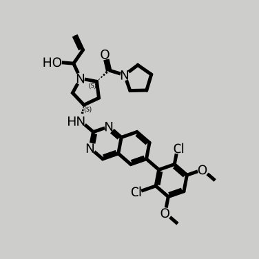 C=CC(O)N1C[C@@H](Nc2ncc3cc(-c4c(Cl)c(OC)cc(OC)c4Cl)ccc3n2)C[C@H]1C(=O)N1CCCC1